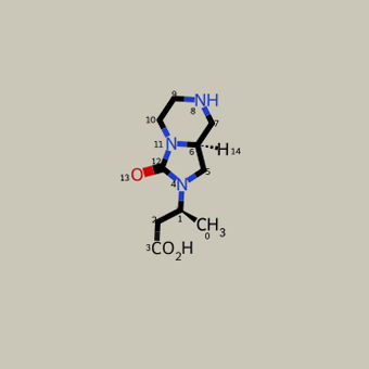 C[C@@H](CC(=O)O)N1C[C@@H]2CNCCN2C1=O